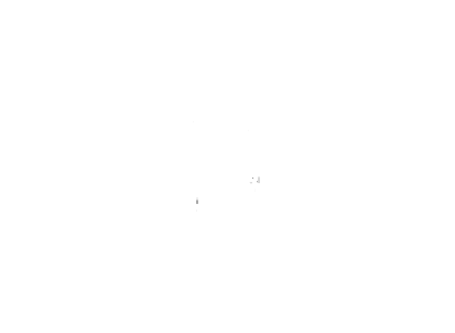 CC(C)OP(C)(=O)F.N